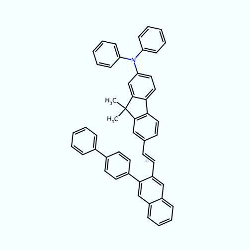 CC1(C)c2cc(/C=C/c3cc4ccccc4cc3-c3ccc(-c4ccccc4)cc3)ccc2-c2ccc(N(c3ccccc3)c3ccccc3)cc21